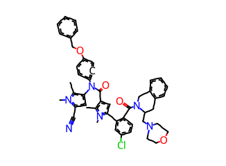 Cc1c(N(C(=O)c2cc(-c3cc(Cl)ccc3C(=O)N3Cc4ccccc4CC3CN3CCOCC3)n(C)c2C)c2ccc(OCc3ccccc3)cc2)cc(C#N)n1C